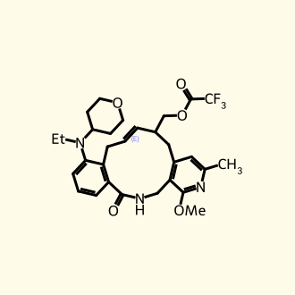 CCN(c1cccc2c1C/C=C/C(COC(=O)C(F)(F)F)Cc1cc(C)nc(OC)c1CNC2=O)C1CCOCC1